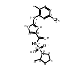 Cc1ccc(C(F)(F)F)cc1Nc1nc(C(=O)NS(=O)(=O)N2CCCC2C)co1